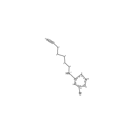 N#CCCCCCNc1cncc(Br)c1